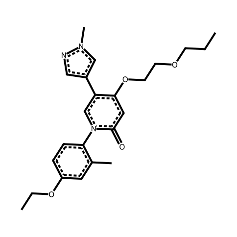 CCCOCCOc1cc(=O)n(-c2ccc(OCC)cc2C)cc1-c1cnn(C)c1